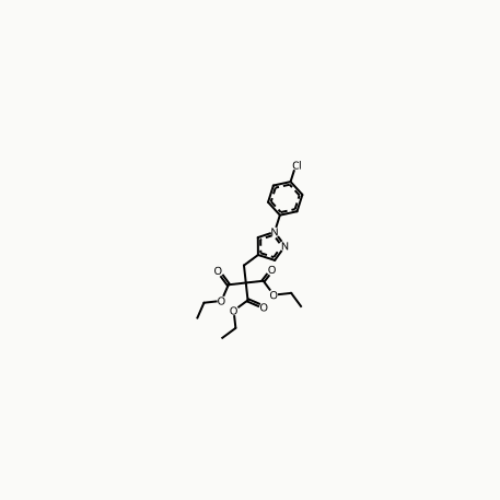 CCOC(=O)C(Cc1cnn(-c2ccc(Cl)cc2)c1)(C(=O)OCC)C(=O)OCC